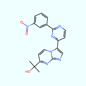 CC(C)(O)c1ccn2c(-c3ccnc(-c4cccc([N+](=O)[O-])c4)n3)cnc2n1